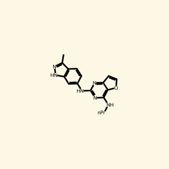 CCCNc1nc(Nc2ccc3c(C)n[nH]c3c2)nc2ccoc12